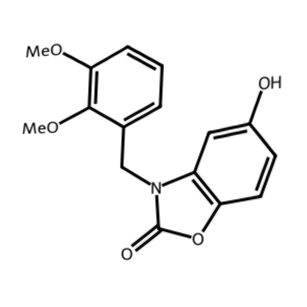 COc1cccc(Cn2c(=O)oc3ccc(O)cc32)c1OC